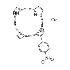 O=[N+]([O-])c1ccc(-c2cc3cc4nc(cc5ccc(cc6nc(cc2[nH]3)C=C6)[nH]5)C=C4)cc1.[Cu]